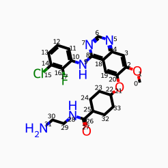 COc1cc2ncnc(Nc3cccc(Cl)c3F)c2cc1OC1CCC(C(=O)NCCN)CC1